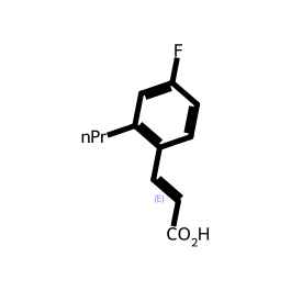 CCCc1cc(F)ccc1/C=C/C(=O)O